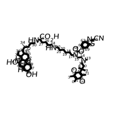 CC1=C(C)C(=O)C(C(C)(C)CCN(C)CCN(CCCCCCNCCCCC(NCCC[C@@H](C)[C@H]2CC[C@H]3[C@@H]4[C@@H](O)C[C@@H]5C[C@H](O)CC[C@]5(C)[C@H]4CC[C@]23C)C(=O)O)C(=O)Oc2ccc3nc(C#N)sc3c2)=C(C)C1=O